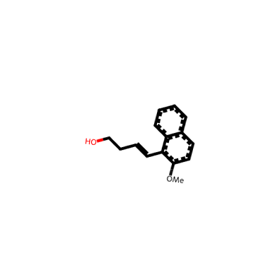 COc1ccc2ccccc2c1C=CCCO